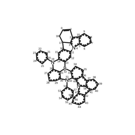 C1=Cc2c3n(c4ccccc24)-c2cc4c(cc2C3C1)N(c1ccccc1)c1cccc2c1B4c1ccc3c4cccc5c6ccccc6n(c3c1N2c1ccccc1)c54